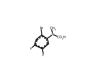 CN(C(=O)O)c1cc(F)c(F)cc1Br